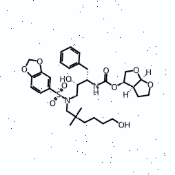 CC(C)(CCCCO)CN(C[C@H](O)[C@H](Cc1ccccc1)NC(=O)O[C@H]1CO[C@H]2OCC[C@H]21)S(=O)(=O)c1ccc2c(c1)OCO2